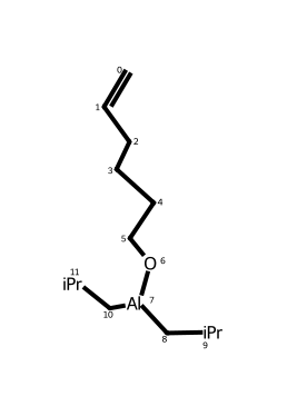 C=CCCCC[O][Al]([CH2]C(C)C)[CH2]C(C)C